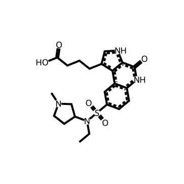 CCN(C1CCN(C)C1)S(=O)(=O)c1ccc2[nH]c(=O)c3[nH]cc(CCCC(=O)O)c3c2c1